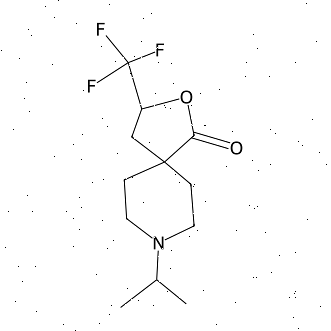 CC(C)N1CCC2(CC1)CC(C(F)(F)F)OC2=O